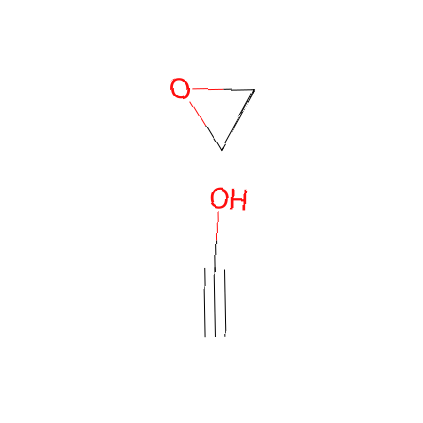 C#CO.C1CO1